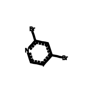 Brc1[c]cnc(Br)c1